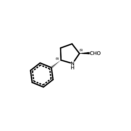 O=C[C@@H]1CC[C@@H](c2ccccc2)N1